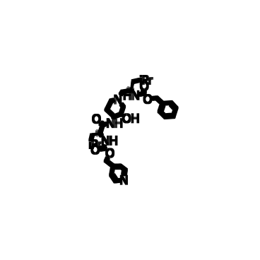 CC(C)C[C@H](CN1CCC(NC(=O)[C@H](CC(C)C)NC(=O)OCc2ccncc2)C(O)C1)NC(=O)OCc1ccccc1